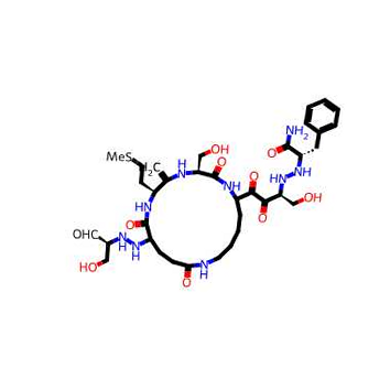 C=C1N[C@@H](CO)C(=O)NC(C(=O)C(=O)[C@H](CO)NN[C@@H](Cc2ccccc2)C(N)=O)CCCCNC(=O)CCC(NN[C@H](C=O)CO)C(=O)N[C@H]1CCSC